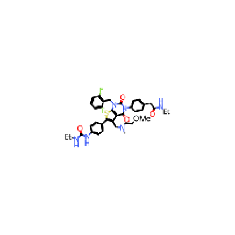 CCNC(=O)Cc1ccc(-n2c(=O)c3c(CN(C)CCOC)c(-c4ccc(NC(=O)NCC)cc4)sc3n(Cc3c(F)cccc3F)c2=O)cc1